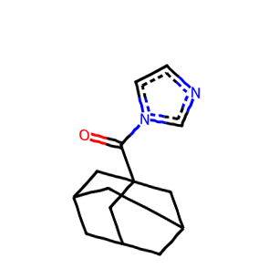 O=C(n1ccnc1)C12CC3CC(CC(C3)C1)C2